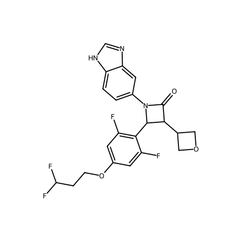 O=C1C(C2COC2)C(c2c(F)cc(OCCC(F)F)cc2F)N1c1ccc2[nH]cnc2c1